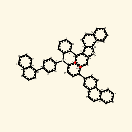 c1ccc(N(c2ccc(-c3ccc4c(ccc5ccccc54)c3)cc2)c2ccc(-c3cccc4ccccc34)cc2)c(-c2cccc3oc4c5ccccc5ccc4c23)c1